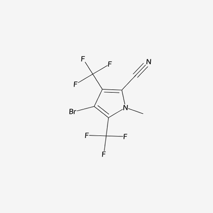 Cn1c(C#N)c(C(F)(F)F)c(Br)c1C(F)(F)F